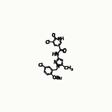 Cc1cc(NC(=O)c2c[nH]c(=O)c(Cl)c2)nn1Cc1cc(Cl)ccc1OCC(C)C